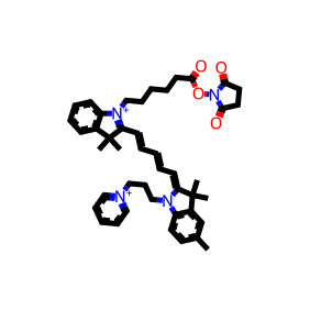 Cc1ccc2c(c1)C(C)(C)/C(=C/C=C/C=C/C1=[N+](CCCCCC(=O)ON3C(=O)CCC3=O)c3ccccc3C1(C)C)N2CCC[n+]1ccccc1